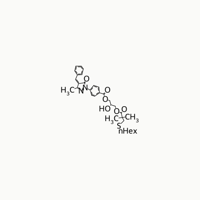 CCCCCCSCC(C)(C)C(=O)OCC(O)COC(=O)c1ccc(N2N=C(C)/C(=C/c3ccccc3)C2=O)cc1